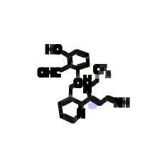 N=C/C=C(\NCC(F)(F)F)c1ncccc1COc1cccc(O)c1C=O